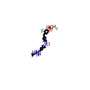 CS(=O)(=O)c1ccc(CC2CC3(C2)CN(C(=O)N2CC4(CC(c5nnc(C6CC6)[nH]5)C4)C2)C3)c(F)c1